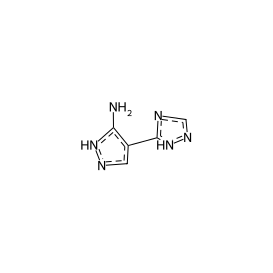 Nc1[nH]ncc1-c1ncn[nH]1